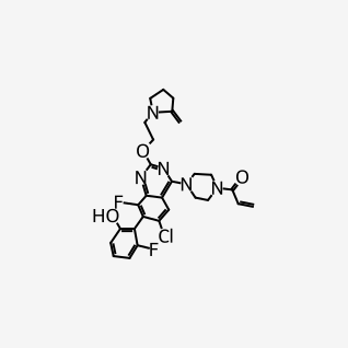 C=CC(=O)N1CCN(c2nc(OCCN3CCCC3=C)nc3c(F)c(-c4c(O)cccc4F)c(Cl)cc23)CC1